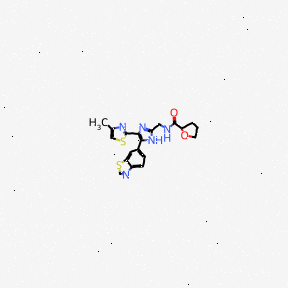 Cc1csc(-c2nc(CNC(=O)C3CCCO3)[nH]c2-c2ccc3ncsc3c2)n1